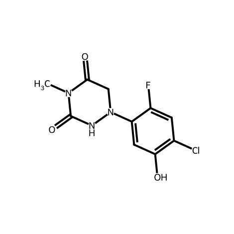 CN1C(=O)CN(c2cc(O)c(Cl)cc2F)NC1=O